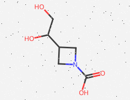 O=C(O)N1CC(C(O)CO)C1